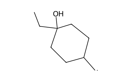 [CH2]C1CCC(O)(CC)CC1